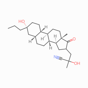 CCC[C@@]1(O)CC[C@H]2[C@H](CC[C@@H]3[C@@H]2CC[C@]2(C)C(=O)C(CC(C)(O)C#N)C[C@@H]32)C1